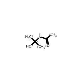 CC(=O)NC(C)(C)O